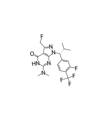 CC(C)[C@H](c1ccc(C(F)(F)F)c(F)c1)n1nc(CF)c2c(=O)[nH]c(N(C)C)nc21